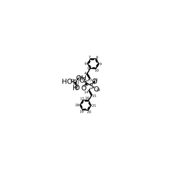 O=S(=O)(C=Cc1ccccc1)S(=O)(=O)C=Cc1ccccc1.O=[PH](O)O